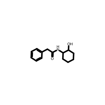 O=C(Cc1ccccc1)NC1CCCCC1O